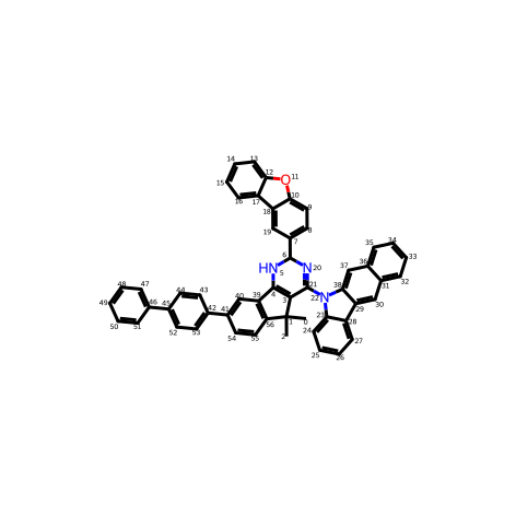 CC1(C)C2=C(NC(c3ccc4oc5ccccc5c4c3)N=C2n2c3ccccc3c3cc4ccccc4cc32)c2cc(-c3ccc(-c4ccccc4)cc3)ccc21